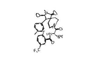 Cc1ccc(C2C(=O)N(C)C(=O)C23CCN(C(=O)[C@H](NC(=O)c2cc(C(F)(F)F)ccc2F)C(C)C)CC3)cc1